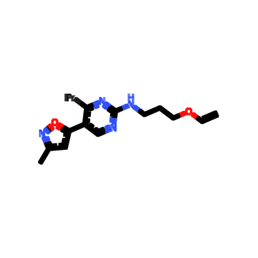 C=COCCCNc1ncc(-c2cc(C)no2)c(C(C)C)n1